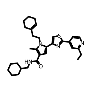 CCc1cc(-c2nc(-c3cc(C(=O)NCC4CCCCC4)c(C)n3CCC3=CCCCC3)cs2)ccn1